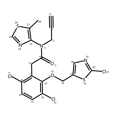 C#CCN(C(=O)Cc1c(Cl)ccc(Cl)c1OCc1cnc(Cl)s1)c1ncsc1C